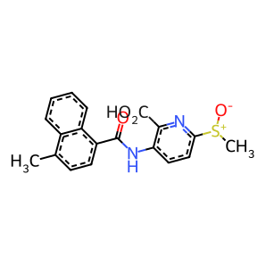 Cc1ccc(C(=O)Nc2ccc([S+](C)[O-])nc2C(=O)O)c2ccccc12